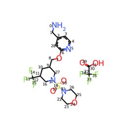 NCc1ccnc(OCC2CC(C(F)(F)F)CN(S(=O)(=O)N3CCOCC3)C2)c1.O=C(O)C(F)(F)F